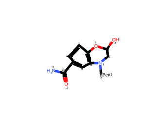 CCCCCN1CC(O)Oc2ccc(C(N)=O)cc21